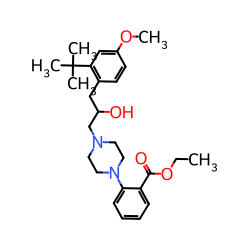 CCOC(=O)c1ccccc1N1CCN(CC(O)Cc2ccc(OC)cc2C(C)(C)C)CC1